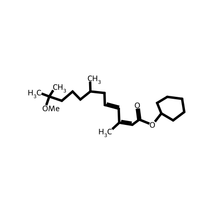 COC(C)(C)CCCC(C)CC=CC(C)=CC(=O)OC1CCCCC1